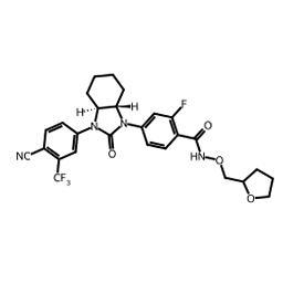 N#Cc1ccc(N2C(=O)N(c3ccc(C(=O)NOCC4CCCO4)c(F)c3)[C@H]3CCCC[C@@H]32)cc1C(F)(F)F